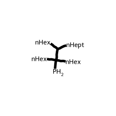 CCCCCCCC(CCCCCC)C(P)(CCCCCC)CCCCCC